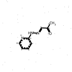 CC(=O)C=NNc1ccccn1